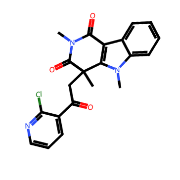 CN1C(=O)c2c(n(C)c3ccccc23)C(C)(CC(=O)c2cccnc2Cl)C1=O